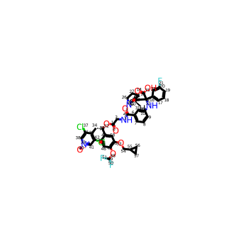 O=C(CNC(=O)c1cccc(NC(C(=O)O)(c2cccc(F)c2)[C@H]2CN3CCC2CC3)c1)O[C@@H](Cc1c(Cl)c[n+]([O-])cc1Cl)c1ccc(OC(F)F)c(OCC2CC2)c1